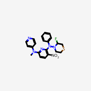 CN(c1ccncc1)c1ccc([N+](=O)[O-])c(N(c2ccccc2)N2CCSCC2F)n1